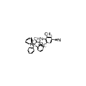 Cc1cc(C#N)cc(C)c1NC(=O)C(C)[PH](c1ccccc1)(c1ccccc1)c1ccccc1